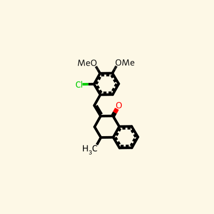 COc1ccc(C=C2CC(C)c3ccccc3C2=O)c(Cl)c1OC